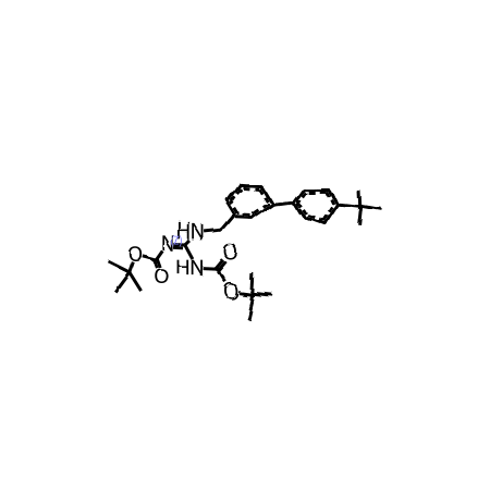 CC(C)(C)OC(=O)/N=C(/NCc1cccc(-c2ccc(C(C)(C)C)cc2)c1)NC(=O)OC(C)(C)C